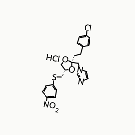 Cl.O=[N+]([O-])c1ccc(SC[C@@H]2CO[C@@](CCc3ccc(Cl)cc3)(Cn3ccnc3)O2)cc1